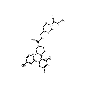 Cc1ccc(N2CCN(C(=O)CCC3CCN(C(=O)OC(C)(C)C)CC3)C[C@H]2c2ccc(Cl)cc2)c(Cl)c1